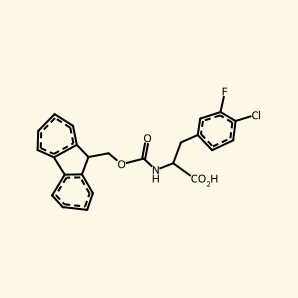 O=C(NC(Cc1ccc(Cl)c(F)c1)C(=O)O)OCC1c2ccccc2-c2ccccc21